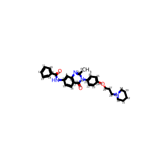 Cc1nc2cc(NC(=O)c3ccccc3)ccc2c(=O)n1-c1ccc(OCCCN2CCCCC2)cc1